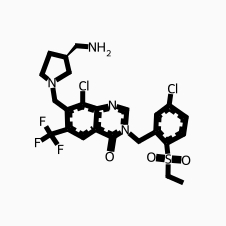 CCS(=O)(=O)c1ccc(Cl)cc1Cn1cnc2c(Cl)c(CN3CC[C@@H](CN)C3)c(C(F)(F)F)cc2c1=O